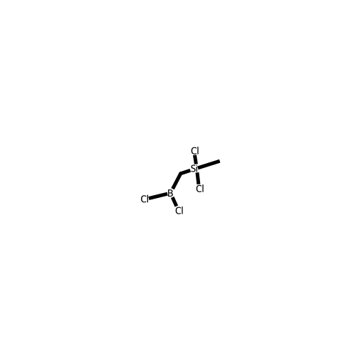 C[Si](Cl)(Cl)CB(Cl)Cl